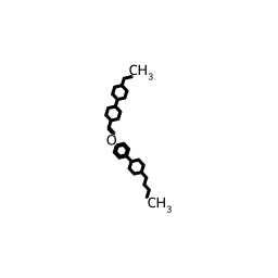 CCCCCC1CCC(c2ccc(OC=CC3CCC(C4CCC(CCC)CC4)CC3)cc2)CC1